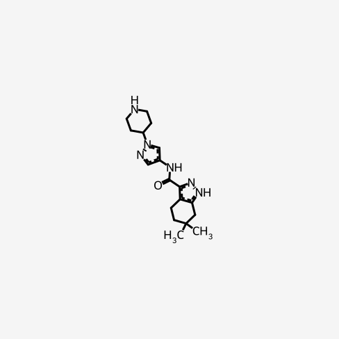 CC1(C)CCc2c(C(=O)Nc3cnn(C4CCNCC4)c3)n[nH]c2C1